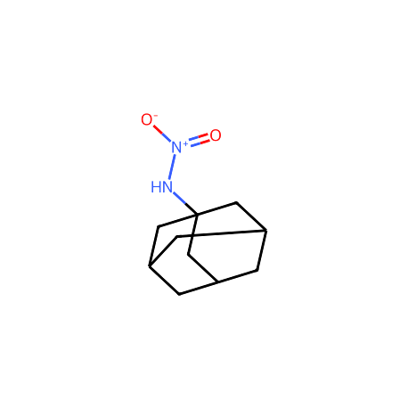 O=[N+]([O-])NC12CC3CC(CC(C3)C1)C2